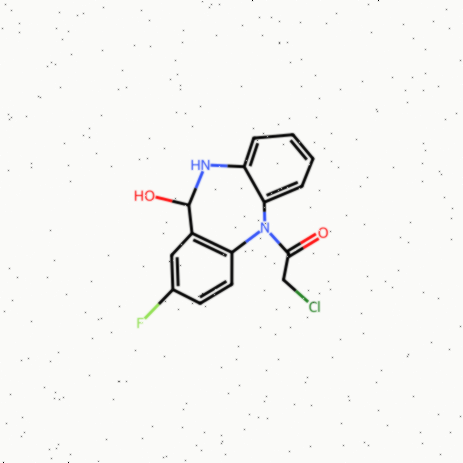 O=C(CCl)N1c2ccccc2NC(O)c2cc(F)ccc21